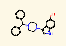 Oc1ccc2[nH][c]c(N3CCN(C(c4ccccc4)c4ccccc4)CC3)c2c1